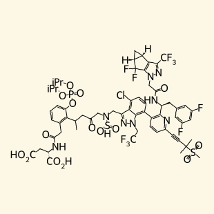 CC(C)OP(=O)(Oc1cccc(CC(=O)N[C@@H](CC(=O)O)C(=O)O)c1C(C)CC(=O)CN(Cc1nn(CC(F)(F)F)c2c(-c3ccc(C#CC(C)(C)S(C)(=O)=O)nc3[C@H](Cc3cc(F)cc(F)c3)NC(=O)Cn3nc(C(F)(F)F)c4c3C(F)(F)[C@@H]3C[C@H]43)ccc(Cl)c12)[SH](=O)=O)OC(C)C